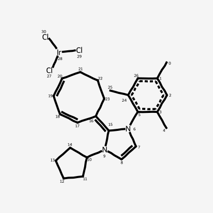 Cc1cc(C)c(N2C=CN(C3CCCC3)C2=C2C=CC=CCCC2)c(C)c1.[Cl][Ir]([Cl])[Cl]